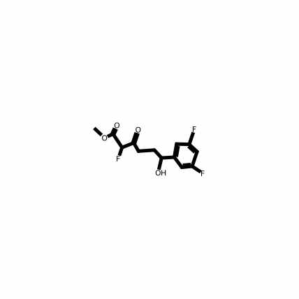 COC(=O)C(F)C(=O)CCC(O)c1cc(F)cc(F)c1